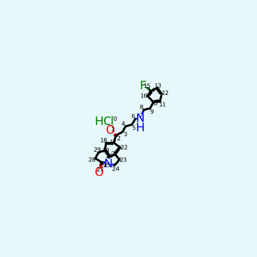 Cl.O=C(CCCCNCCc1cccc(F)c1)c1cc2c3c(c1)CCN3C(=O)CC2